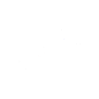 C/C=C\C=C(/C)c1ccc(C(=O)c2ccccc2C(=O)OCC(CC)CCCC)cc1